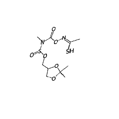 CC(S)=NOC(=O)N(C)S(=O)OCC1COC(C)(C)O1